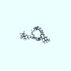 C[C@@H]1[C@@H](C)C/C=C/[C@H](OCCC2CCN(C(=O)OC(C)(C)C)CC2)[C@@H]2CC[C@H]2CN2C[C@@]3(CCCc4cc(Cl)ccc43)COc3ccc(cc32)C(=O)NS1(=O)=O